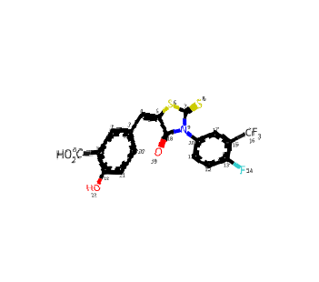 O=C(O)c1cc(C=C2SC(=S)N(c3ccc(F)c(C(F)(F)F)c3)C2=O)ccc1O